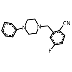 N#Cc1ccc(F)cc1CN1CCN(c2ccccc2)CC1